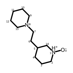 [O-][NH+]1CCCC(CCN2CCCCC2)C1